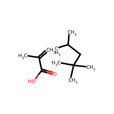 C=C(C)C(=O)O.CC(C)CC(C)(C)C